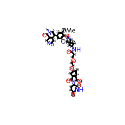 COc1cc(-c2cn(C)c(=O)c3cnccc23)cc(OC)c1ON1CC2(CC(NC(=O)CCOCCOc3ccc4c(c3)C(=O)N(C3CCC(=O)NC3=O)C4=O)C2)C1